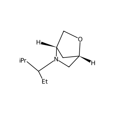 CCC(C(C)C)N1C[C@@H]2C[C@H]1CO2